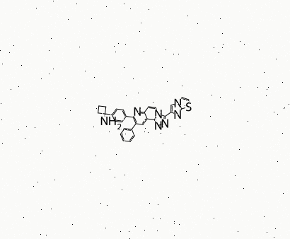 NC1(c2ccc(-c3nc4ccn5c(-c6cn7ccsc7n6)nnc5c4cc3-c3ccccc3)cc2)CCC1